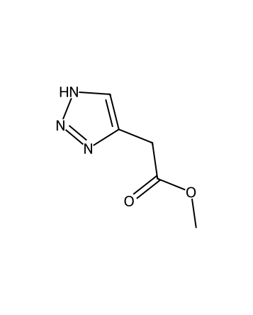 COC(=O)Cc1c[nH]nn1